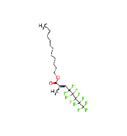 CCCCCCCCCCCOC(=O)C(C)=CC(F)(F)C(F)(F)C(F)(F)C(F)(F)C(F)(F)F